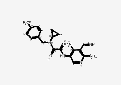 N=Cc1c(N)ncc(NC(=O)C(=O)N(Cc2ccc(C(F)(F)F)cc2)C2CC2)c1N